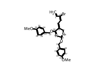 C=C/C(Br)=C\C=C1/CN=C(OCc2ccc(OC)cc2)N=C1OCc1ccc(OC)cc1